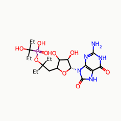 CCC(CC)(CC1O[C@@H](n2c(=O)[nH]c3c(=O)[nH]c(N)nc32)[C@H](O)C1O)OP(=O)(O)C(O)(CC)CC